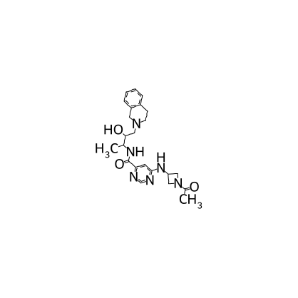 CC(=O)N1CC(Nc2cc(C(=O)NC(C)C(O)CN3CCc4ccccc4C3)ncn2)C1